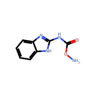 NOC(=O)Nc1nc2ccccc2[nH]1